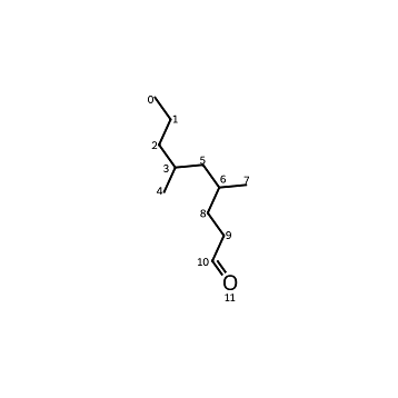 CCCC(C)CC(C)CCC=O